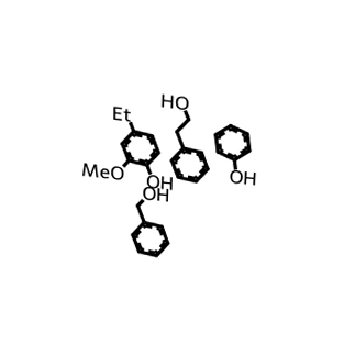 CCc1ccc(O)c(OC)c1.OCCc1ccccc1.OCc1ccccc1.Oc1ccccc1